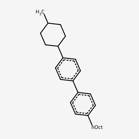 CCCCCCCCc1ccc(-c2ccc(C3CCC(C)CC3)cc2)cc1